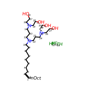 CCCCCCCC/C=C\CCCCCCCCN(CCCN(CCO)CCO)CCCN(CCO)CCO.F.F.F